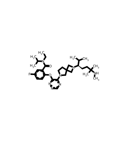 CCN(C(=O)c1cc(F)ccc1Oc1nncnc1N1CCC2(C1)CN([C@H](CCC(C)(C)NC)C(C)C)C2)C(C)C